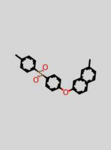 Cc1ccc(S(=O)(=O)c2ccc(Oc3ccc4ccc(C)cc4c3)cc2)cc1